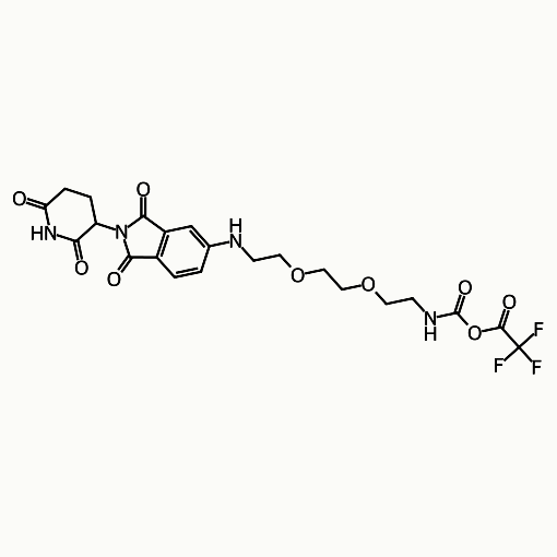 O=C1CCC(N2C(=O)c3ccc(NCCOCCOCCNC(=O)OC(=O)C(F)(F)F)cc3C2=O)C(=O)N1